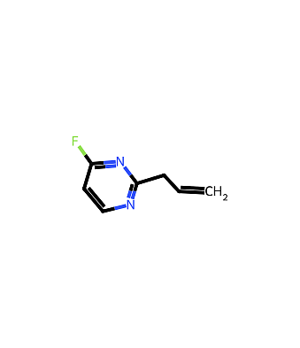 C=CCc1nccc(F)n1